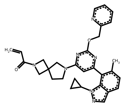 C=CC(=O)N1CC2(CCN(c3cc(-c4c(C)ccc5cnn(C6CC6)c45)nc(OCc4ccccn4)n3)C2)C1